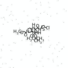 COCC(=O)N1CC[C@H](NC(=O)C(=O)NC2=CCC(Cl)S2)[C@H](NC(=O)OC(C)(C)C)C1